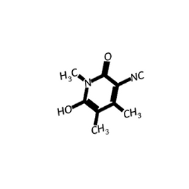 [C-]#[N+]c1c(C)c(C)c(O)n(C)c1=O